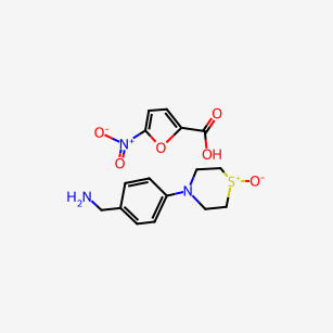 NCc1ccc(N2CC[S+]([O-])CC2)cc1.O=C(O)c1ccc([N+](=O)[O-])o1